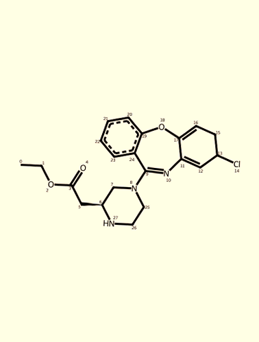 CCOC(=O)C[C@H]1CN(C2=NC3=CC(Cl)CC=C3Oc3ccccc32)CCN1